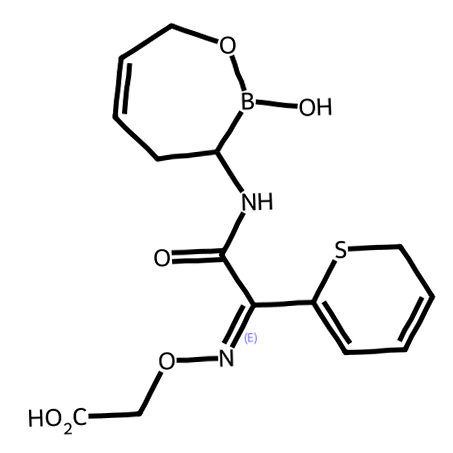 O=C(O)CO/N=C(\C(=O)NC1CC=CCOB1O)C1=CC=CCS1